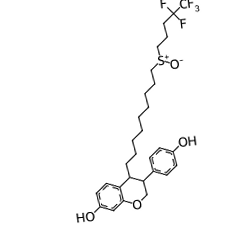 [O-][S+](CCCCCCCCCC1c2ccc(O)cc2OCC1c1ccc(O)cc1)CCCC(F)(F)C(F)(F)F